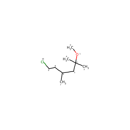 COC(C)(C)CC(C)CCCl